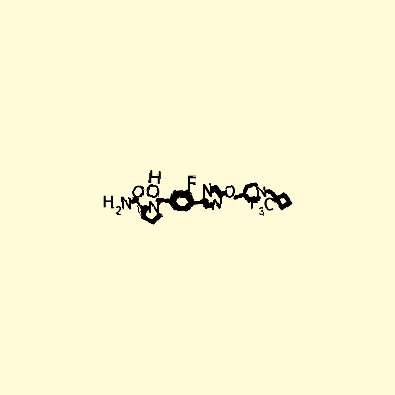 NC(=O)[C@@H]1CCCN1C(O)c1ccc(-c2cnc(OCC3CCN(CC4(C(F)(F)F)CCC4)CC3)cn2)c(F)c1